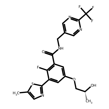 Cc1cnc(-c2cc(OC[C@@H](C)O)cc(C(=O)NCc3cnc(C(F)(F)F)nc3)c2F)s1